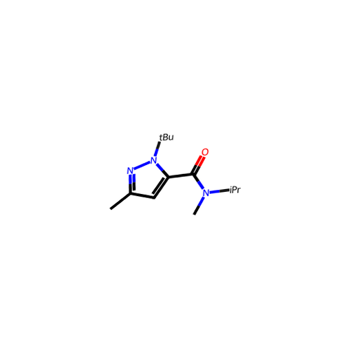 Cc1cc(C(=O)N(C)C(C)C)n(C(C)(C)C)n1